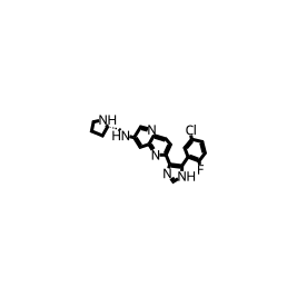 Fc1ccc(Cl)cc1-c1[nH]cnc1-c1ccc2ncc(NC[C@@H]3CCCN3)cc2n1